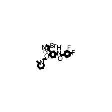 CC1CCCCN1CCOc1ccc(NC(=O)c2ccc(F)c(F)c2)cc1-c1c(Br)cnn1C